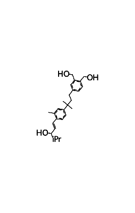 Cc1cc(C(C)(C)CCc2ccc(CO)c(CO)c2)ccc1/C=C/C(O)C(C)C